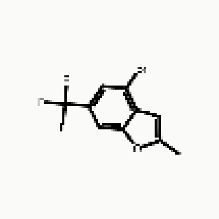 Cc1cc2c(Br)cc(C(F)(F)F)cc2o1